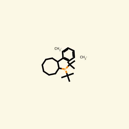 CC(C)(C)P(C1CCCCCC[C]1c1ccccc1)C(C)(C)C.[CH2].[CH2]